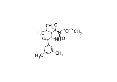 CCOCn1c(=O)[nH]c(C(=O)c2cc(C)cc(C)c2)c(C(C)C)c1=O